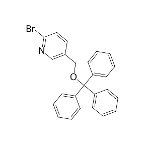 Brc1ccc(COC(c2ccccc2)(c2ccccc2)c2ccccc2)cn1